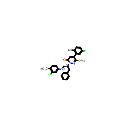 COc1nn([C@H](CNc2ccc(C(=O)O)c(Cl)c2)Cc2ccccc2)c(=O)cc1-c1cc(Cl)ccc1C(C)=O